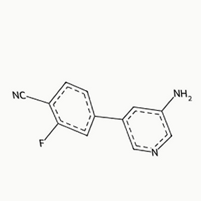 N#Cc1ccc(-c2cncc(N)c2)cc1F